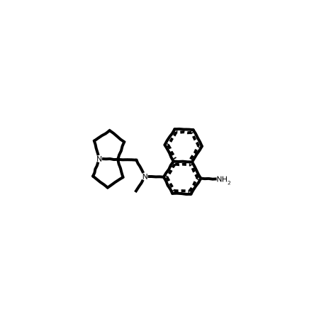 CN(CC12CCCN1CCC2)c1ccc(N)c2ccccc12